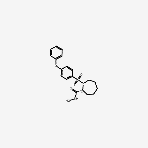 O=C(NO)[C@H]1CCCCCN1S(=O)(=O)c1ccc(Oc2ccccc2)cc1